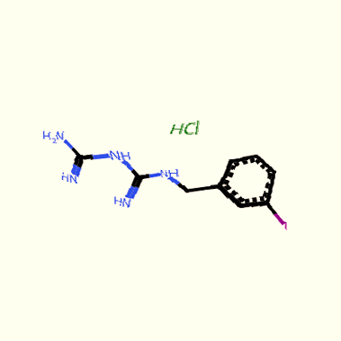 Cl.N=C(N)NC(=N)NCc1cccc(I)c1